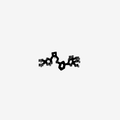 CC(C)(C)OC(=O)N1CC[C@H]1COc1cccc(B2OC(C)(C)C(C)(C)O2)c1